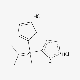 C[C](C)=[Zr]([CH3])([C]1=CC=CC1)[c]1ccc[nH]1.Cl.Cl